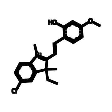 CCC1(C)C(/C=C/c2ccc(OC)cc2O)=[N+](C)c2ccc(Cl)cc21